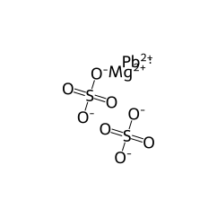 O=S(=O)([O-])[O-].O=S(=O)([O-])[O-].[Mg+2].[Pb+2]